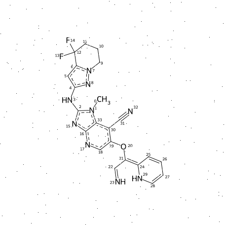 Cn1c(Nc2cc3n(n2)CCCC3(F)F)nc2ncc(O/C(C=N)=C3\C=CC=CN3)c(C#N)c21